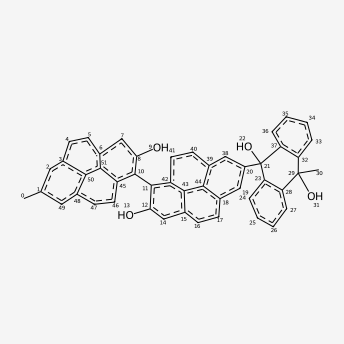 Cc1cc2ccc3cc(O)c(-c4c(O)cc5ccc6cc(C7(O)c8ccccc8C(C)(O)c8ccccc87)cc7ccc4c5c67)c4ccc(c1)c2c34